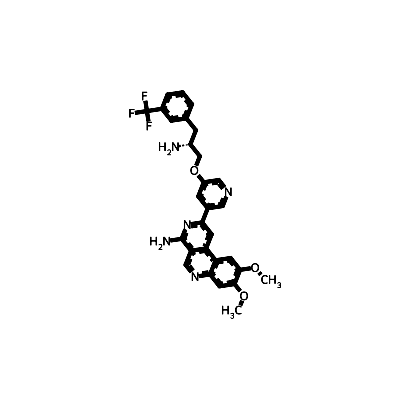 COc1cc2ncc3c(N)nc(-c4cncc(OC[C@H](N)Cc5cccc(C(F)(F)F)c5)c4)cc3c2cc1OC